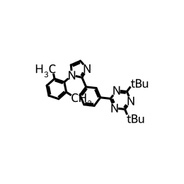 Cc1cccc(C)c1-n1ccnc1-c1cccc(-c2nc(C(C)(C)C)nc(C(C)(C)C)n2)c1